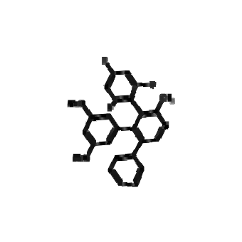 COc1cc(OC)cc(-c2c(-c3ccccc3)cnc(C)c2-c2c(F)cc(F)cc2F)c1